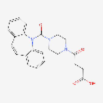 O=C(O)CCC(=O)N1CCN(C(=O)N2c3ccccc3C=Cc3ccccc32)CC1